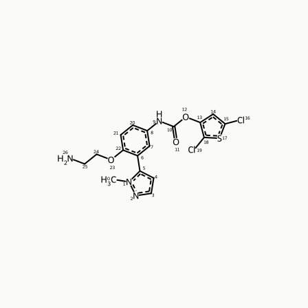 Cn1nccc1-c1cc(NC(=O)Oc2cc(Cl)sc2Cl)ccc1OCCN